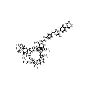 CC[C@H]1OC(=O)[C@H](C)[C@@H](O[C@H]2C[C@@](C)(OC)[C@@H](O)[C@H](C)O2)[C@H](C)[C@@H](O[C@@H]2O[C@H](C)C[C@H](NCCc3cn(C[C@H]4CN(c5ccc(N6CCOCC6)c(F)c5)C(=O)O4)nn3)[C@H]2O)[C@](C)(O)C[C@@H](C)C(=O)[C@H](C)[C@@H](O)[C@]1(C)O